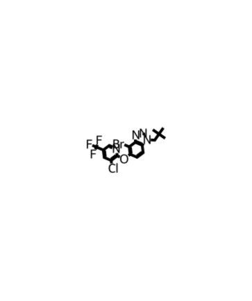 CC(C)(C)Cn1nnc2c(Br)c(Oc3ncc(C(F)(F)F)cc3Cl)ccc21